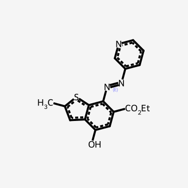 CCOC(=O)c1cc(O)c2cc(C)sc2c1/N=N/c1cccnc1